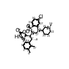 Cc1ccc(F)c([C@@H](C)[C@@H](c2n[nH]c(=O)o2)N2CN(C3CCCN(C)C3)c3cc(Cl)ccc3S2(=O)=O)c1C